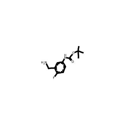 CC(C)(C)OC(=O)Nc1ccc(F)c(CN)c1